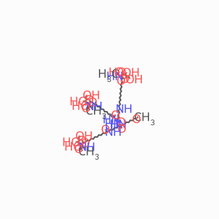 COCCCCCCNC(=O)C(CCCCNC(=O)CCCCCCCCCCOC1OC(CO)C(O)C(O)C1NC(C)=O)NC(=O)C(CCCCNCCCCCCCCCCCCOC1OC(CO)C(O)C(O)C1NC(C)=O)NC(=O)CCCCCCCCCCCOC1OC(CO)C(O)C(O)C1NC(C)=O